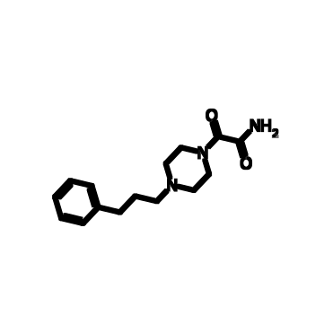 NC(=O)C(=O)N1CCN(CCCc2ccccc2)CC1